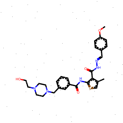 COc1ccc(C=NNC(=O)c2c(C)csc2NC(=O)c2cccc(CN3CCN(CCO)CC3)c2)cc1